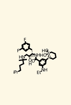 CCNc1cc(C(=O)N[C@@H](Cc2cc(F)cc(F)c2)[C@H](O)CNC(C)(C)CCCC(C)C)cc(N2CCCCS2(O)O)c1